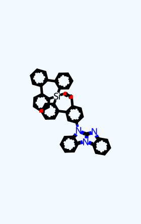 c1ccc2c(c1)-c1ccccc1[Si]1(c3ccccc3-2)c2ccccc2-c2ccc(-n3c4ccccc4n4c5ccccc5nc34)cc2-c2ccccc21